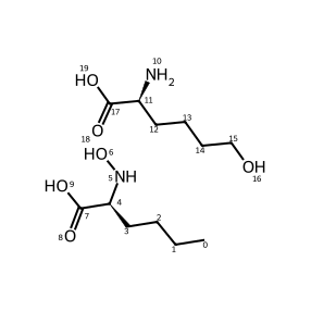 CCCC[C@H](NO)C(=O)O.N[C@@H](CCCCO)C(=O)O